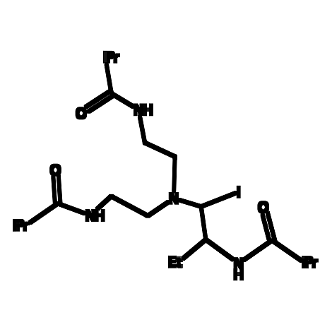 CCC(NC(=O)C(C)C)C(I)N(CCNC(=O)C(C)C)CCNC(=O)C(C)C